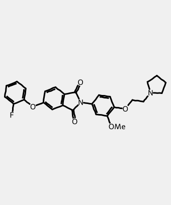 COc1cc(N2C(=O)c3ccc(Oc4ccccc4F)cc3C2=O)ccc1OCCN1CCCC1